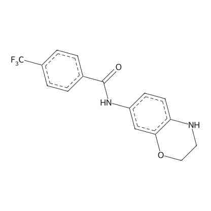 O=C(Nc1ccc2c(c1)OCCN2)c1ccc(C(F)(F)F)cc1